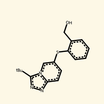 CC(C)(C)c1nnc2ccc(Sc3ccccc3CO)cn12